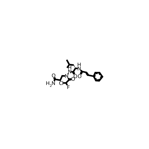 CC(C)C[C@H](NC(=O)/C=C/c1ccccc1)C(=O)NN(CCC(N)=O)C(=O)C(F)Cl